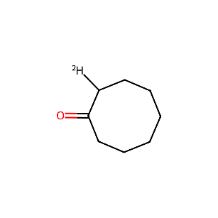 [2H]C1CCCCCCC1=O